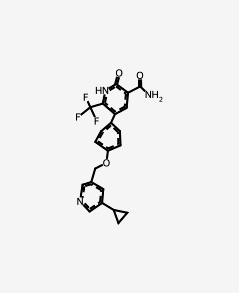 NC(=O)c1cc(-c2ccc(OCc3cncc(C4CC4)c3)cc2)c(C(F)(F)F)[nH]c1=O